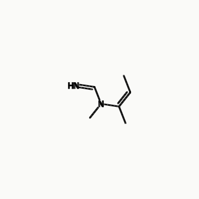 C/C=C(/C)N(C)C=N